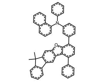 CC1(C)c2ccccc2-c2cc3c(cc21)oc1c(-c2cccc(N(c4ccccc4)c4cccc5ccccc45)c2)ccc(-c2ccccc2)c13